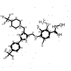 COc1c(C(=N)NO)cc(F)c(OCc2sc(-c3ccc(C(F)(F)F)cc3)nc2CN2CCC(C(F)(F)F)CC2)c1F